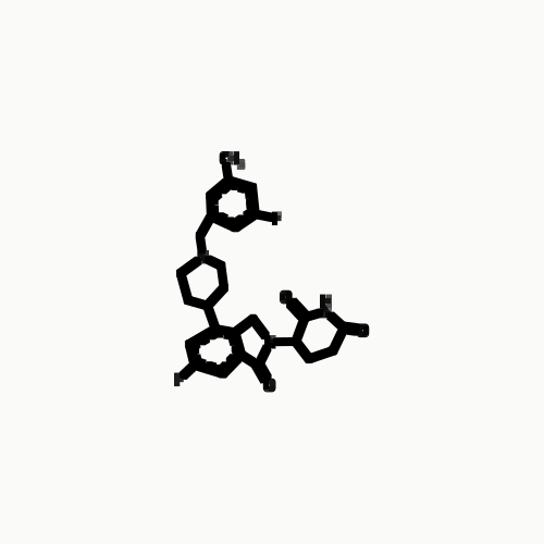 Cc1cc(F)cc(CN2CCC(c3cc(F)cc4c3CN(C3CCC(=O)NC3=O)C4=O)CC2)c1